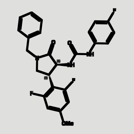 COc1cc(F)c([C@@H]2CN(Cc3ccccc3)C(=O)[C@H]2NC(=O)Nc2ccc(F)cc2)c(F)c1